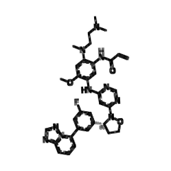 C=CC(=O)Nc1cc(Nc2cc(N3OCC[C@@H]3c3cc(F)cc(-c4cccc5ncnn45)c3)ncn2)c(OC)cc1N(C)CCN(C)C